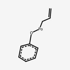 C=C[CH2][Po][O]c1ccccc1